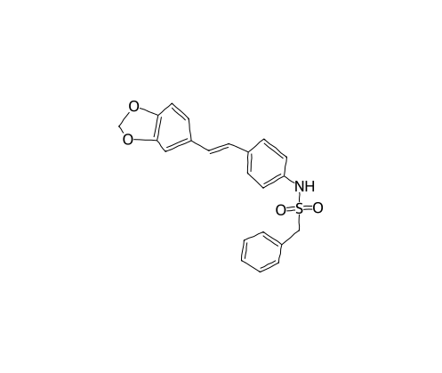 O=S(=O)(Cc1ccccc1)Nc1ccc(/C=C/c2ccc3c(c2)OCO3)cc1